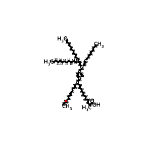 CCCCCCCCCCCCN(CCCCCCCCCCCC)CCN(CCCCCCCCCCCC)CCN1CCN(CCN(CCCCCCCCCCCC)CCCCCCCCCCC(C)C(=O)O)CC1